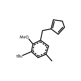 COc1c(CC2=CCC=C2)cc(C)cc1C(C)(C)C